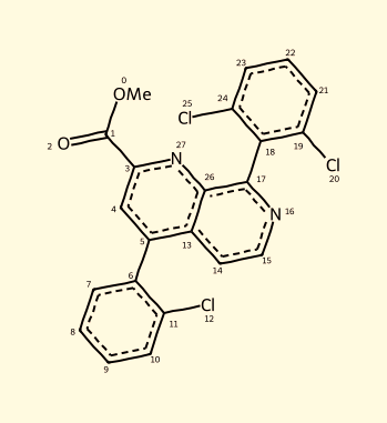 COC(=O)c1cc(-c2ccccc2Cl)c2ccnc(-c3c(Cl)cccc3Cl)c2n1